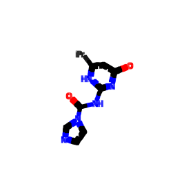 CC(C)c1cc(=O)nc(NC(=O)n2ccnc2)[nH]1